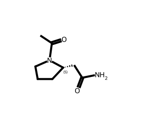 CC(=O)N1CCC[C@H]1CC(N)=O